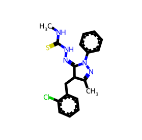 CNC(=S)NN=C1C(Cc2ccccc2Cl)C(C)=NN1c1ccccc1